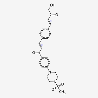 CS(=O)(=O)N1CCN(c2ccc(C(=O)/C=C/c3ccc(/C=C/C(=O)CO)cc3)cc2)CC1